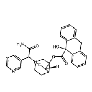 NC(=O)C(c1cncnc1)[N+]12CCC(CC1)[C@@H](OC(=O)C1(O)c3ccccc3Cc3ccccc31)C2